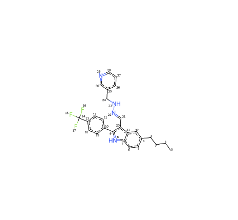 CCCCc1ccc2[nH]c(-c3ccc(C(F)(F)F)cc3)c(C=NNCc3cccnc3)c2c1